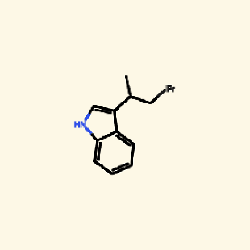 CC(C)CC(C)c1c[nH]c2ccccc12